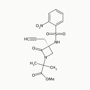 C#CC[C@]1(NS(=O)(=O)c2ccccc2[N+](=O)[O-])CN(C(C)(C)C(=O)OC)C1=O